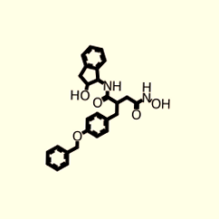 O=C(CC(Cc1ccc(OCc2ccccc2)cc1)C(=O)NC1c2ccccc2CC1O)NO